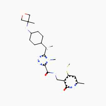 CSc1cc(C)[nH]c(=O)c1CNC(=O)c1nnc([C@H](C)C2CCC(NC3(C)COC3)CC2)n1C